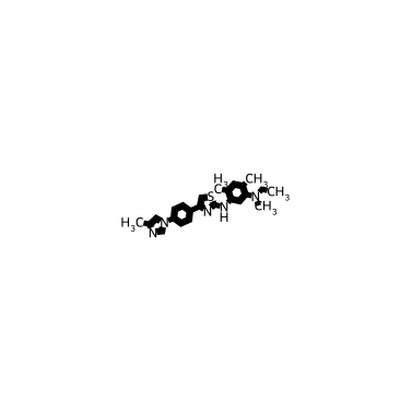 CCN(C)c1cc(Nc2nc(-c3ccc(-n4cnc(C)c4)cc3)cs2)c(C)cc1C